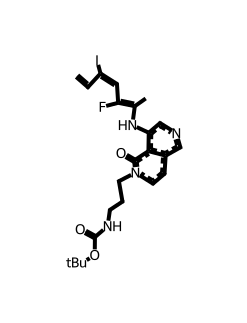 C=C/C(I)=C\C(F)=C(/C)Nc1cncc2ccn(CCCNC(=O)OC(C)(C)C)c(=O)c12